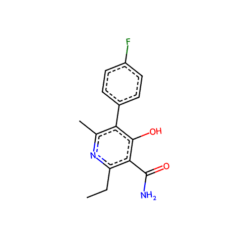 CCc1nc(C)c(-c2ccc(F)cc2)c(O)c1C(N)=O